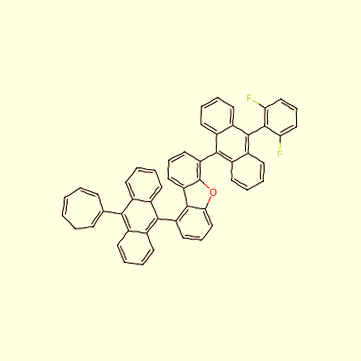 Fc1cccc(F)c1-c1c2ccccc2c(-c2cccc3c2oc2cccc(-c4c5ccccc5c(C5=CCC=CC=C5)c5ccccc45)c23)c2ccccc12